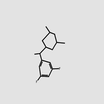 CC1CC(C)CC(C(C)c2cc(F)cc(F)c2)C1